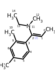 C/C=C(/c1ccc(C)cc1C)N(C)CC